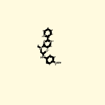 COc1ccc(NC(=O)CN(C)c2ccnc(-c3ccccn3)n2)cc1